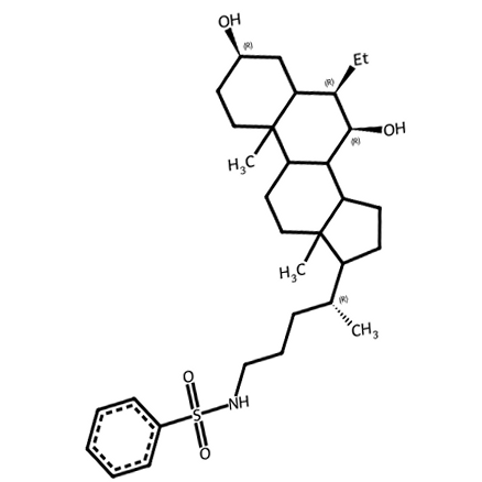 CC[C@@H]1C2C[C@H](O)CCC2(C)C2CCC3(C)C(CCC3[C@H](C)CCCNS(=O)(=O)c3ccccc3)C2[C@@H]1O